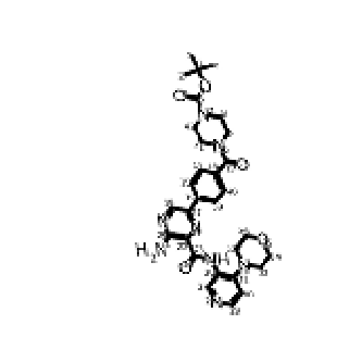 CC(C)(C)OC(=O)N1CCN(C(=O)c2ccc(-c3cnc(N)c(C(=O)Nc4cnccc4N4CCOCC4)n3)cc2)CC1